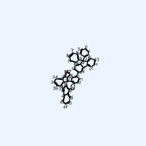 c1ccc(C2(c3ccccc3)c3ccccc3-c3cc(-c4ccc5c(c4)C4(c6ccccc6-c6ccccc64)c4ccc6ccccc6c4O5)ccc32)cc1